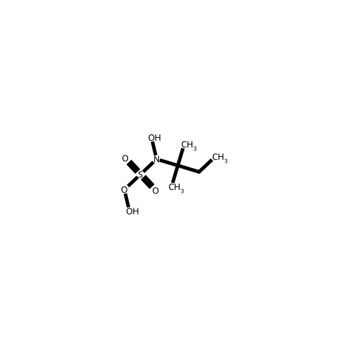 CCC(C)(C)N(O)S(=O)(=O)OO